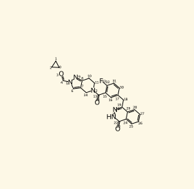 C1CC1.O=Cn1cc2c(n1)CCN(C(=O)c1cc(Cc3n[nH]c(=O)c4ccccc34)ccc1F)C2